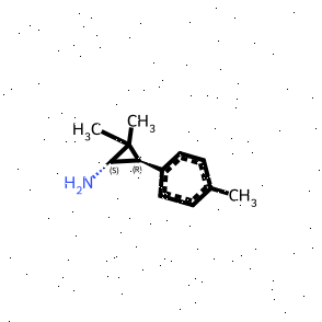 Cc1ccc([C@H]2[C@H](N)C2(C)C)cc1